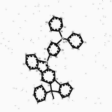 CC1(c2ccccc2)c2ccccc2-c2cc3c(cc21)c1ccccc1n3-c1ccc(N(c2ccccc2)c2ccccc2)cc1